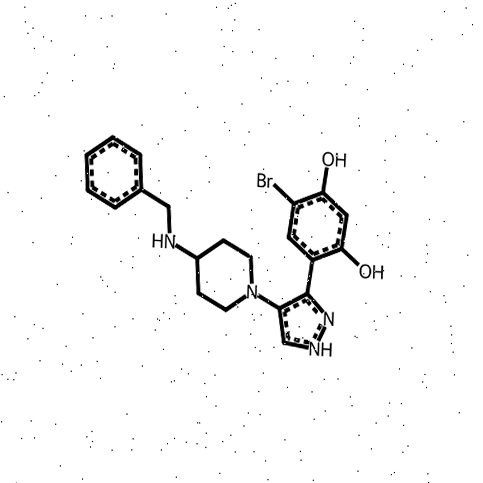 Oc1cc(O)c(-c2n[nH]cc2N2CCC(NCc3ccccc3)CC2)cc1Br